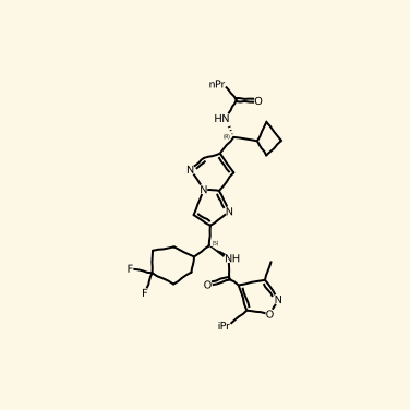 CCCC(=O)N[C@@H](c1cnn2cc([C@@H](NC(=O)c3c(C)noc3C(C)C)C3CCC(F)(F)CC3)nc2c1)C1CCC1